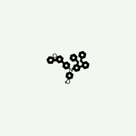 COc1ccc(N(c2ccc(-c3ccc4oc5ccccc5c4c3)cc2)c2ccc(-c3ccccc3Cc3ccccc3)c(Cc3ccccc3)c2)cc1